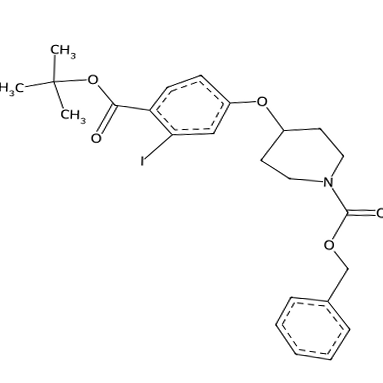 CC(C)(C)OC(=O)c1ccc(OC2CCN(C(=O)OCc3ccccc3)CC2)cc1I